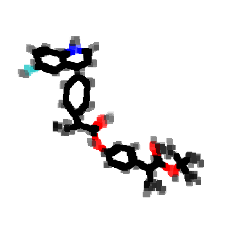 CC(C(=O)OC(C)(C)C)c1ccc(OC(=O)C(C)C2CCC(c3ccnc4ccc(F)cc34)CC2)cc1